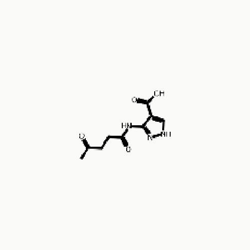 CC(=O)CCC(=O)Nc1n[nH]cc1C(=O)O